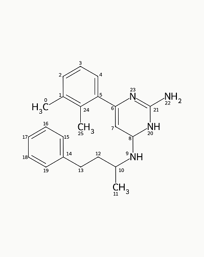 Cc1cccc(C2=CC(NC(C)CCc3ccccc3)NC(N)=N2)c1C